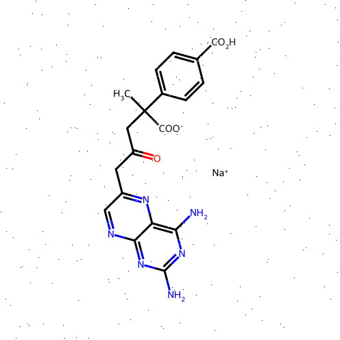 CC(CC(=O)Cc1cnc2nc(N)nc(N)c2n1)(C(=O)[O-])c1ccc(C(=O)O)cc1.[Na+]